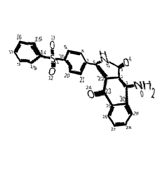 NC1=C2C(=O)NC(c3ccc(S(=O)(=O)c4ccccc4)cc3)=C2C(=O)c2ccccc21